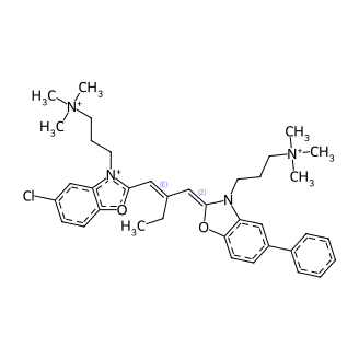 CCC(/C=C1\Oc2ccc(-c3ccccc3)cc2N1CCC[N+](C)(C)C)=C\c1oc2ccc(Cl)cc2[n+]1CCC[N+](C)(C)C